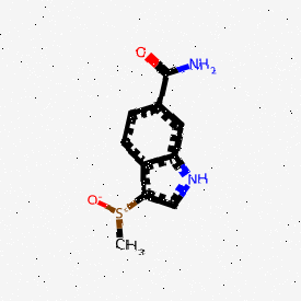 C[S+]([O-])c1c[nH]c2cc(C(N)=O)ccc12